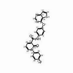 O=C(Nc1ccc(Oc2ncnc3ccsc23)cc1)c1cccn(-c2ccc(F)cc2)c1=O